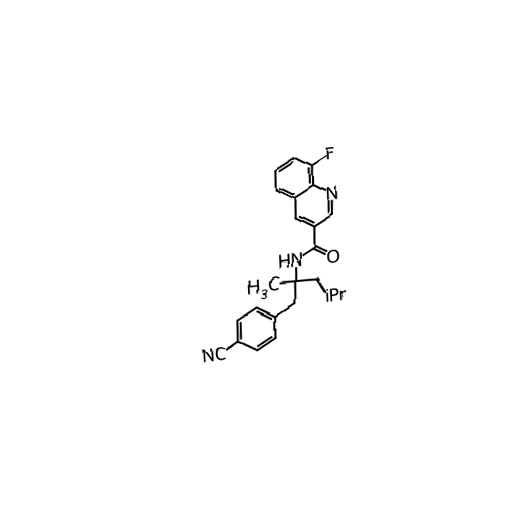 CC(C)CC(C)(Cc1ccc(C#N)cc1)NC(=O)c1cnc2c(F)cccc2c1